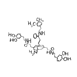 Cc1ccc(CCNC(=O)CCC23CC4(N)CC(CCC(=O)NCCc5ccc(O)c(O)c5)(C2)CC(CCC(=O)NCCc2ccc(O)c(O)c2)(C4)C3)cc1C